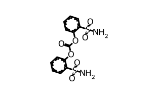 NS(=O)(=O)c1ccccc1OC(=O)Oc1ccccc1S(N)(=O)=O